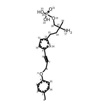 Cc1ccc(OCC#Cc2ccc(CCC(C)(N)COP(=O)(O)O)s2)cc1